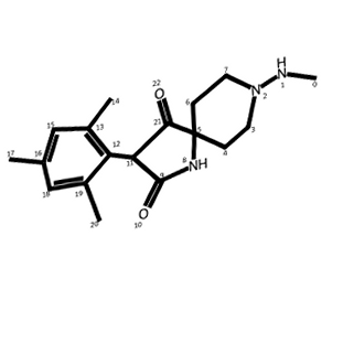 CNN1CCC2(CC1)NC(=O)C(c1c(C)cc(C)cc1C)C2=O